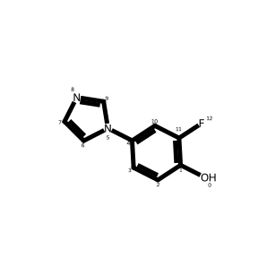 Oc1ccc(-n2ccnc2)cc1F